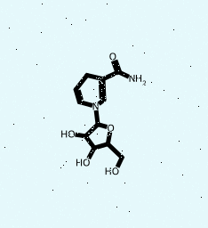 NC(=O)C1=CN(C2OC(CO)C(O)C2O)C=CC1